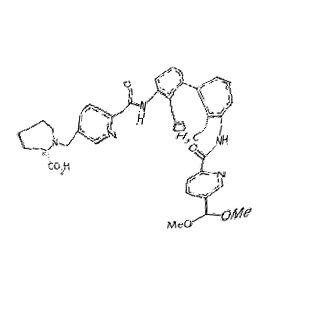 COC(OC)c1ccc(C(=O)Nc2cccc(-c3cccc(NC(=O)c4ccc(CN5CCCC[C@H]5C(=O)O)cn4)c3Cl)c2C)nc1